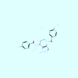 COc1ccc(C(=O)N2CCC(NC(=O)c3ccc(Cl)cc3C(F)(F)F)c3c2cnn3C)cc1OC